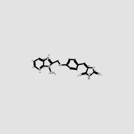 Cn1c(COc2ccc(C=C3SC(=O)NC3=O)cc2)nc2cccnc21